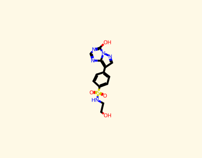 O=S(=O)(NCCO)c1ccc(-c2cnn3c(O)ncnc23)cc1